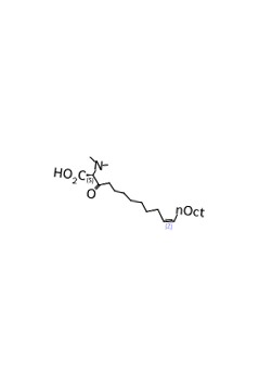 CCCCCCCC/C=C\CCCCCCCC(=O)[C@@H](C(=O)O)N(C)C